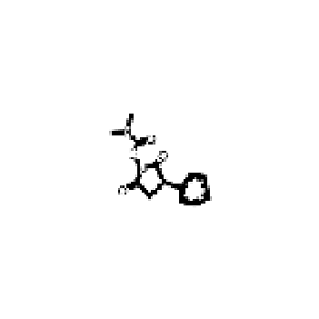 CN(C)C(=O)ON1C(=O)CC(c2ccccc2)C1=O